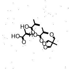 C=C(C)C(=O)O.C=C(C)C(=O)O.C=C(C)C(=O)O.CC(C=O)(C=O)C=O